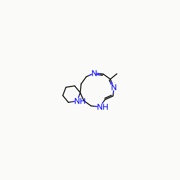 CC1=N/C=C/NCCC2(CCCCN2)CC/N=C\1